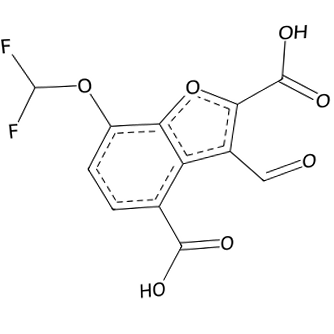 O=Cc1c(C(=O)O)oc2c(OC(F)F)ccc(C(=O)O)c12